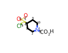 O=C(O)N1CCC(S(=O)(=O)Cl)CC1